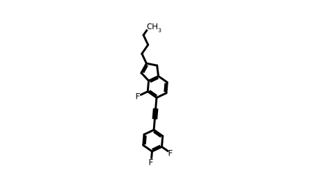 CCCCC1=Cc2c(ccc(C#Cc3ccc(F)c(F)c3)c2F)C1